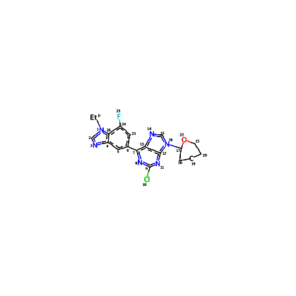 CCn1cnc2cc(-c3nc(Cl)nc4c3ncn4C3CCCCO3)cc(F)c21